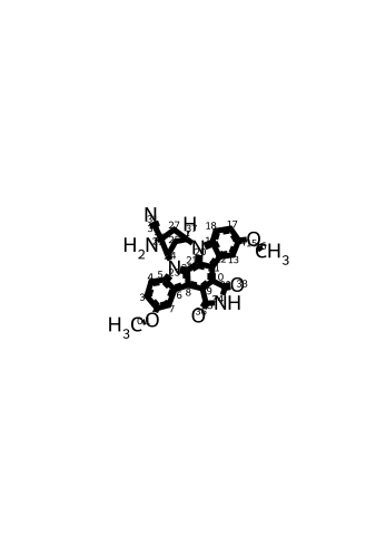 COc1ccc2c(c1)c1c3c(c4c5cc(OC)ccc5n5c4c1n2C1C[C@H]5C[C@@]1(N)C#N)C(=O)NC3=O